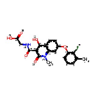 Cc1cccc(Oc2ccc3c(O)c(C(=O)NCC(=O)O)c(=O)n(C)c3c2)c1F